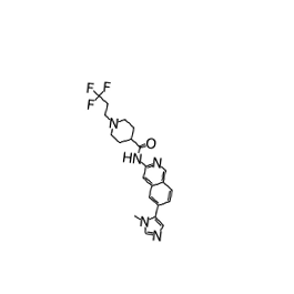 Cn1cncc1-c1ccc2cnc(NC(=O)C3CCN(CCC(F)(F)F)CC3)cc2c1